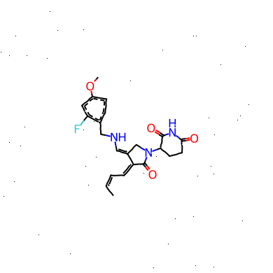 C\C=C/C=C1/C(=O)N(C2CCC(=O)NC2=O)C/C1=C\NCc1ccc(OC)cc1F